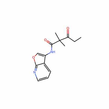 CCC(=O)C(C)(C)C(=O)Nc1coc2ncccc12